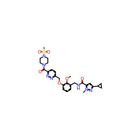 COc1c(CNC(=O)c2cc(C3CC3)nn2C)cccc1OCc1ccc(C(=O)N2CCN(S(C)(=O)=O)CC2)nn1